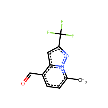 Cc1ccc(C=O)c2cc(C(F)(F)F)nn12